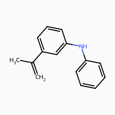 C=C(C)c1cccc(Nc2ccccc2)c1